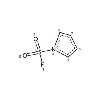 O=S(=O)(F)n1cccc1